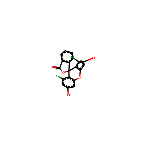 O=C1OC2(c3ccccc31)c1c(F)cc(O)cc1Oc1cc(O)cc(F)c12